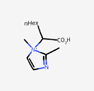 CCCCCCC(C(=O)O)[N+]1(C)C=CN=C1C